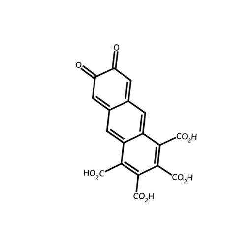 O=C1C=c2cc3c(C(=O)O)c(C(=O)O)c(C(=O)O)c(C(=O)O)c3cc2=CC1=O